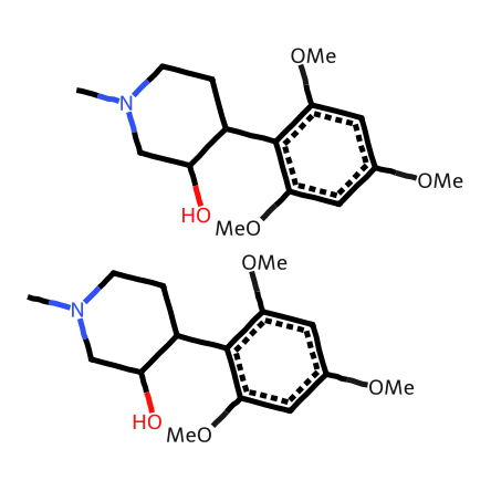 COc1cc(OC)c(C2CCN(C)CC2O)c(OC)c1.COc1cc(OC)c(C2CCN(C)CC2O)c(OC)c1